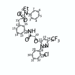 CCN(c1ccccc1)S(=O)(=O)Cc1cccc(NC(=O)COc2cc(C(F)(F)F)nn2-c2ccccc2Cl)c1